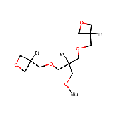 CCCCOCC(CC)(COCC1(CC)COC1)COCC1(CC)COC1